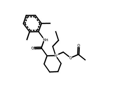 CCC[N+]1(COC(C)=O)CCCCC1C(=O)Nc1c(C)cccc1C